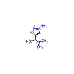 CC(c1cc(N)no1)N(C)C